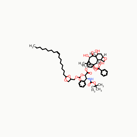 CCCCCCCC/C=C\CCCCCCCC1OCC(COC(=O)O[C@@H](C(=O)O[C@H]2CC3(O)[C@@H](OC(=O)c4ccccc4)[C@@H]4[C@]5(O)CO[C@@H]5C[C@H](O)[C@@]4(C)C(=O)[C@H](O)C(=C2C)C3(C)C)[C@@H](NC(=O)OC(C)(C)C)c2ccccc2)O1